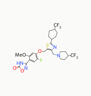 COc1cc(OCc2sc(C3CCC(C(F)(F)F)CC3)nc2CN2CCC(C(F)(F)F)CC2)c(F)cc1-c1noc(=O)[nH]1